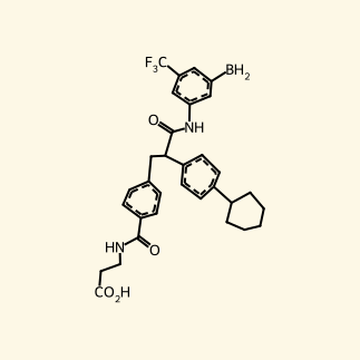 Bc1cc(NC(=O)C(Cc2ccc(C(=O)NCCC(=O)O)cc2)c2ccc(C3CCCCC3)cc2)cc(C(F)(F)F)c1